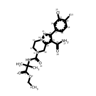 CCOC(=O)C(C)(C)NC(=O)N1CCn2nc(-c3ccc(F)c(Cl)c3)c(C(N)=O)c2C1